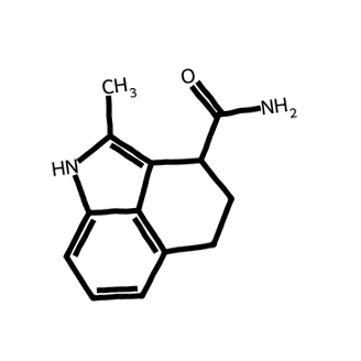 Cc1[nH]c2cccc3c2c1C(C(N)=O)CC3